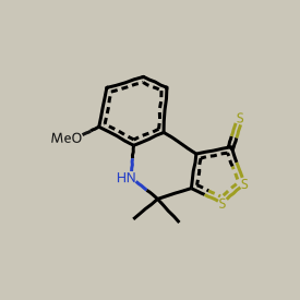 COc1cccc2c1NC(C)(C)c1ssc(=S)c1-2